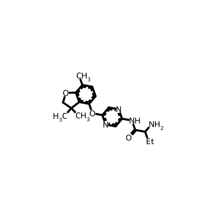 CCC(N)C(=O)Nc1cnc(Oc2ccc(C)c3c2C(C)(C)CO3)cn1